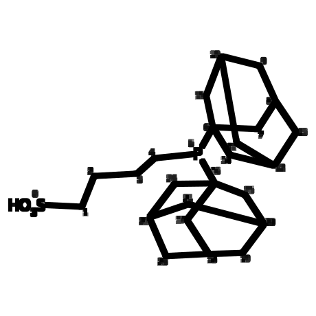 O=S(=O)(O)CCCCP(C12CC3CC(CC(C3)C1)C2)C12CC3CC(CC(C3)C1)C2